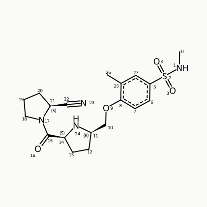 CNS(=O)(=O)c1ccc(OC[C@H]2CC[C@@H](C(=O)N3CCC[C@H]3C#N)N2)c(C)c1